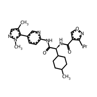 Cc1cnn(C)c1-c1ccc(NC(=O)[C@@H](NC(=O)c2conc2C(C)C)C2CCC(C)CC2)nc1